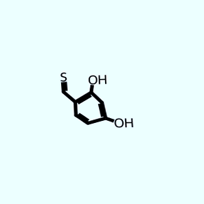 Oc1ccc(C=S)c(O)c1